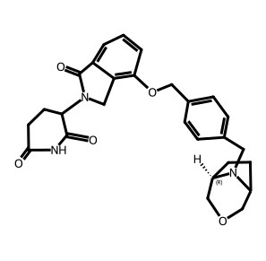 O=C1CCC(N2Cc3c(OCc4ccc(CN5C6CC[C@@H]5COC6)cc4)cccc3C2=O)C(=O)N1